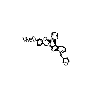 COc1ccc(Cn2c(=O)n3ncnc3c3c4c(sc32)N(C[C@H]2CCOC2)CCC4)cc1